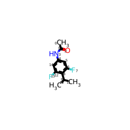 CC(=O)Nc1cc(F)c(C(C)C)c(F)c1